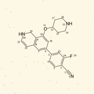 N#Cc1ccc(-c2cc3c(c(OC4CCNCC4)c2)CNC=C3)cc1F